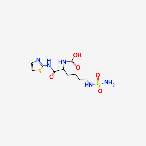 NS(=O)(=O)NCCCCC(NC(=O)O)C(=O)Nc1nccs1